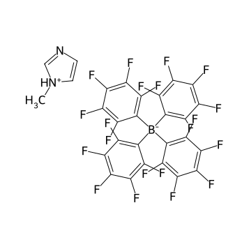 C[NH+]1C=CN=C1.Fc1c(F)c(F)c([B-](c2c(F)c(F)c(F)c(F)c2F)(c2c(F)c(F)c(F)c(F)c2F)c2c(F)c(F)c(F)c(F)c2F)c(F)c1F